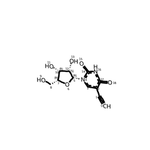 C#Cc1cn([C@@H]2O[C@H](CO)[C@H](O)[C@@H]2O)c(=O)[nH]c1=O